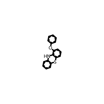 c1ccc(Oc2cccc3c2Nc2ccccc2S3)cc1